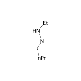 CCCC[N]NCC